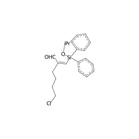 CC(C)O[Si](/C=C(\C=O)CCCCCl)(c1ccccc1)c1ccccc1